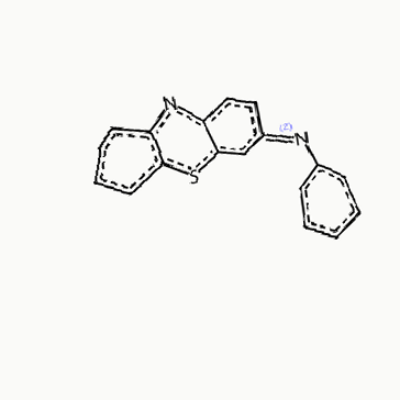 c1ccc(/N=c2/ccc3nc4ccccc4sc-3c2)cc1